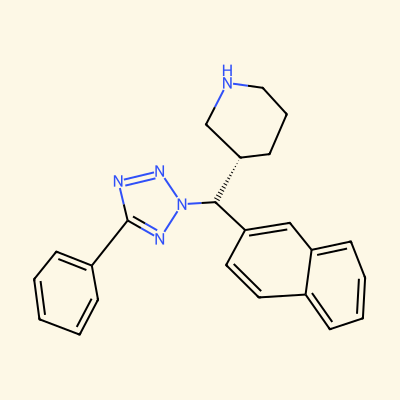 c1ccc(-c2nnn(C(c3ccc4ccccc4c3)[C@H]3CCCNC3)n2)cc1